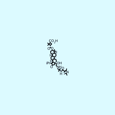 Cc1nc(C)c(C(=O)NC(C)(C)CNC[C@H](O)[C@@]23CC[C@]4(C)[C@H](CC[C@@H]5[C@@]6(C)CC[C@H](OC(=O)[C@H]7C[C@@H](C(=O)O)C7(C)C)C(C)(C)[C@@H]6CC[C@]54C)C2=C(C(C)C)C(=O)C3)s1